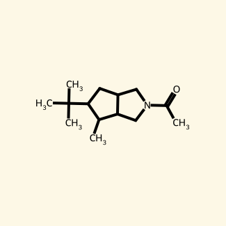 CC(=O)N1CC2CC(C(C)(C)C)C(C)C2C1